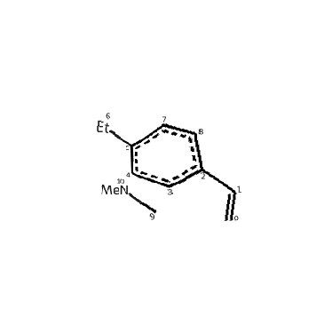 C=Cc1ccc(CC)cc1.CNC